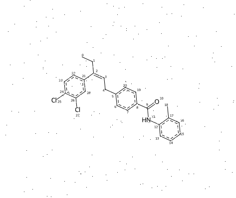 CC/C(=C/Cc1ccc(C(=O)Nc2ccccc2C)cc1)c1ccc(Cl)c(Cl)c1